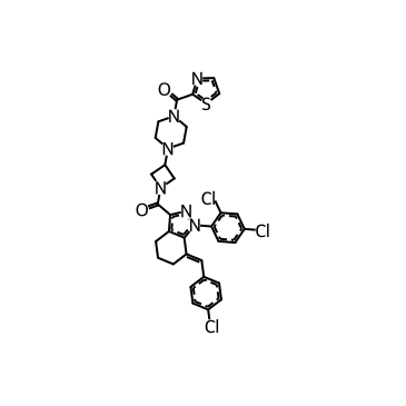 O=C(c1nccs1)N1CCN(C2CN(C(=O)c3nn(-c4ccc(Cl)cc4Cl)c4c3CCCC4=Cc3ccc(Cl)cc3)C2)CC1